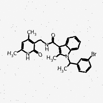 Cc1cc(C)c(CNC(=O)c2c(C)n(C(C)c3cccc(Br)c3)c3ccccc23)c(=O)[nH]1